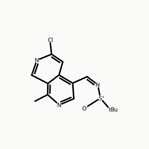 Cc1ncc(/C=N\[S+]([O-])C(C)(C)C)c2cc(Cl)ncc12